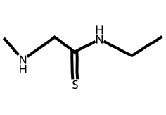 CCNC(=S)CNC